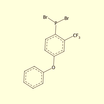 FC(F)(F)c1cc(Oc2ccccc2)ccc1P(Br)Br